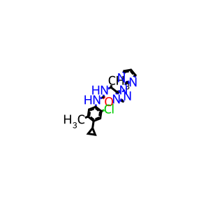 Cc1cc(NC(=O)NC(C)c2ncnn2-c2ncccn2)c(Cl)cc1C1CC1